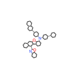 c1ccc(-c2ccc(N(c3ccc(-c4ccc5ccccc5c4)cc3)c3cccc4c3oc3cc5ccccc5c(-c5nc6ccccc6o5)c34)cc2)cc1